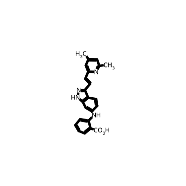 Cc1cc(C)nc(/C=C/c2n[nH]c3cc(Nc4ccccc4C(=O)O)ccc23)c1